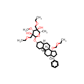 CCOCO[C@]12CC[C@H](c3ccccc3)[C@@]1(C)CC[C@H]1[C@H]2CC[C@@H]2C[C@@H](O[C@@H]3O[C@@H](C)[C@@](O)(COCC)[C@@H](OC)[C@@]3(O)COCC)CC[C@@]21C